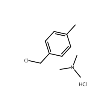 CN(C)C.Cc1ccc(CCl)cc1.Cl